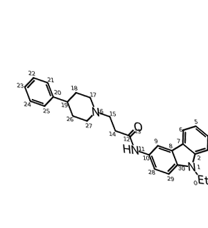 CCn1c2ccccc2c2cc(NC(=O)CCN3CCC(c4ccccc4)CC3)ccc21